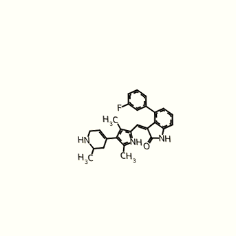 Cc1[nH]c(/C=C2\C(=O)Nc3cccc(-c4cccc(F)c4)c32)c(C)c1C1=CCNC(C)C1